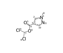 Cn1cc(C(=O)OC(Cl)Cl)cn1